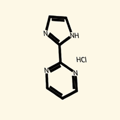 Cl.c1cnc(-c2ncc[nH]2)nc1